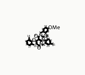 COc1ccc(Cn2c(=O)c3c(Oc4c(C)cccc4C)cc(=O)n(C)c3n(-c3ccc(I)cc3F)c2=O)cc1